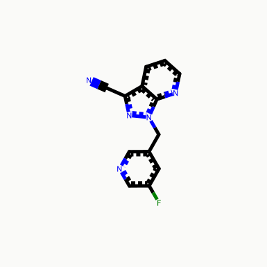 N#Cc1nn(Cc2cncc(F)c2)c2ncccc12